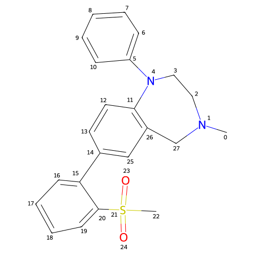 CN1CCN(c2ccccc2)c2ccc(-c3ccccc3S(C)(=O)=O)cc2C1